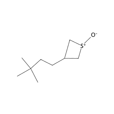 CC(C)(C)CCC1C[S+]([O-])C1